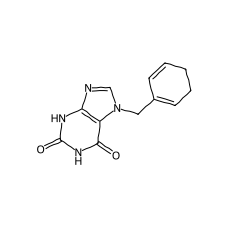 O=c1[nH]c(=O)c2c(ncn2CC2=CCCC=C2)[nH]1